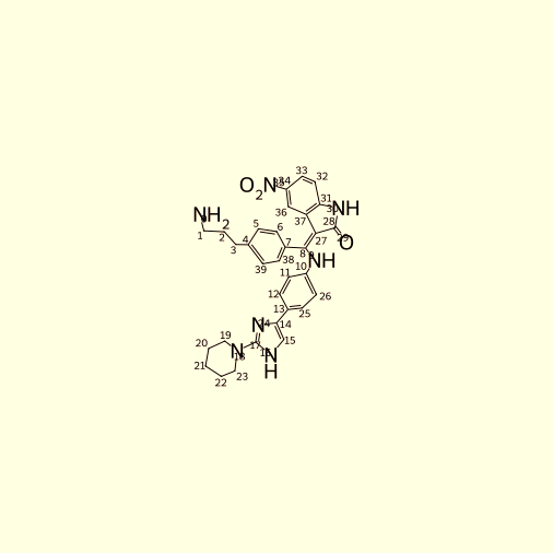 NCCCc1ccc(/C(Nc2ccc(-c3c[nH]c(N4CCCCC4)n3)cc2)=C2/C(=O)Nc3ccc([N+](=O)[O-])cc32)cc1